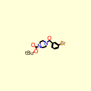 CC(C)(C)OC(=O)N1CCN(C(=O)c2cccc(Br)c2)CC1